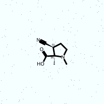 CN1CC[C@H](C#N)[C@]1(C)C(=O)O